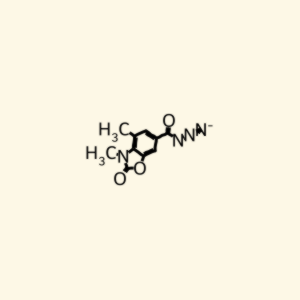 Cc1cc(C(=O)N=[N+]=[N-])cc2oc(=O)n(C)c12